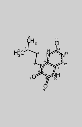 CC(C)CCn1c(=O)c(=O)[nH]c2cnc(Cl)nc21